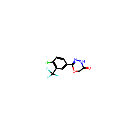 O=C1COC(c2ccc(Cl)c(C(F)(F)F)c2)=NN1